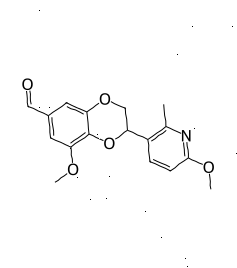 COc1ccc(C2COc3cc(C=O)cc(OC)c3O2)c(C)n1